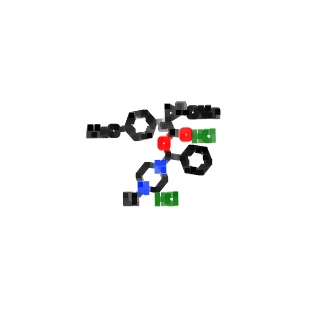 CCN1CCN(C(OC(=O)[C@@]2(c3ccc(OC)cc3)C[C@H]2OC)c2ccccc2)CC1.Cl.Cl